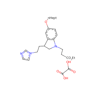 CCCCCCCOc1ccc2c(c1)C(CCn1ccnc1)CN2CCC(=O)OCC.O=C(O)C(=O)O